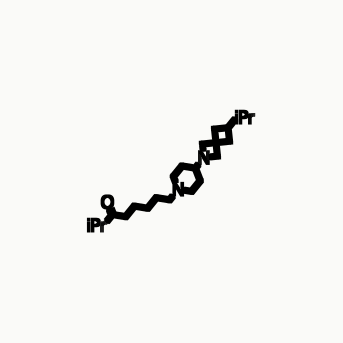 CC(C)C(=O)CCCCCN1CCC(N2CC3(CC(C(C)C)C3)C2)CC1